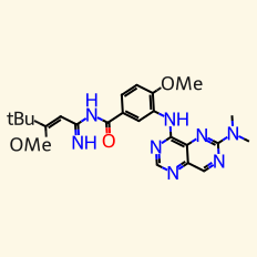 CO/C(=C\C(=N)NC(=O)c1ccc(OC)c(Nc2ncnc3cnc(N(C)C)nc23)c1)C(C)(C)C